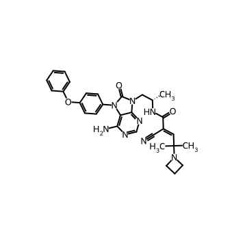 C[C@@H](Cn1c(=O)n(-c2ccc(Oc3ccccc3)cc2)c2c(N)ncnc21)NC(=O)C(C#N)=CC(C)(C)N1CCC1